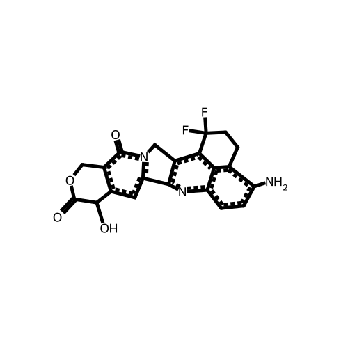 Nc1ccc2nc3c(c4c2c1CCC4(F)F)Cn1c-3cc2c(c1=O)COC(=O)C2O